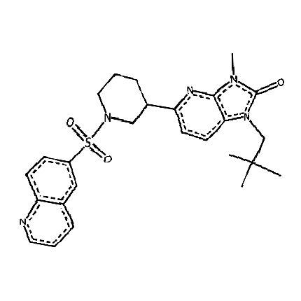 Cn1c(=O)n(CC(C)(C)C)c2ccc(C3CCCN(S(=O)(=O)c4ccc5ncccc5c4)C3)nc21